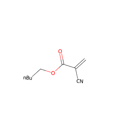 C=C(C#N)C(=O)OCCCCC